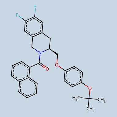 CC(C)(C)Oc1ccc(OC[C@@H]2Cc3cc(F)c(F)cc3CN2C(=O)c2cccc3ccccc23)cc1